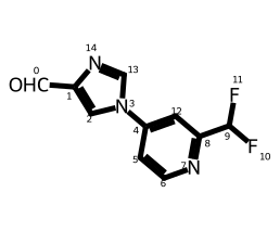 O=Cc1cn(-c2ccnc(C(F)F)c2)cn1